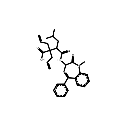 C=CCC(CC=C)(C(=O)O)C(CC(C)C)C(=O)NC1N=C(c2ccccc2)c2ccccc2N(C)C1=O